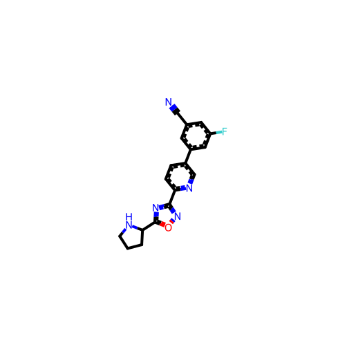 N#Cc1cc(F)cc(-c2ccc(-c3noc(C4CCCN4)n3)nc2)c1